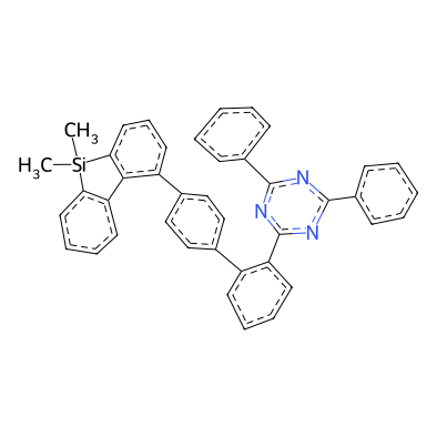 C[Si]1(C)c2ccccc2-c2c(-c3ccc(-c4ccccc4-c4nc(-c5ccccc5)nc(-c5ccccc5)n4)cc3)cccc21